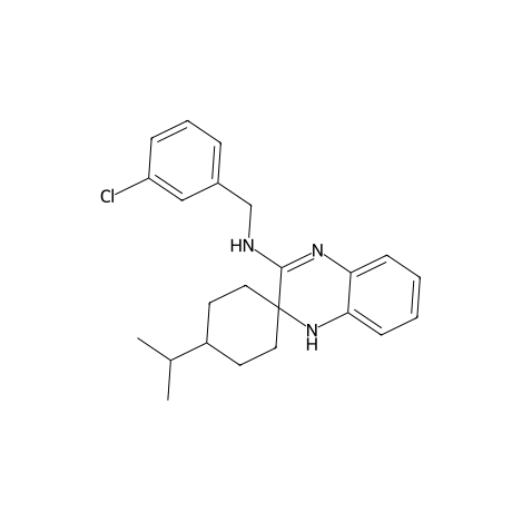 CC(C)C1CCC2(CC1)Nc1ccccc1N=C2NCc1cccc(Cl)c1